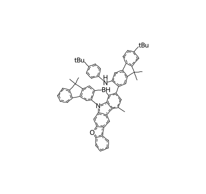 Cc1cc(-c2cc3c(cc2Nc2ccc(C(C)(C)C)cc2)-c2ccc(C(C)(C)C)cc2C3(C)C)c2c3c1c1cc4c(cc1n3-c1cc3c(cc1B2)C(C)(C)c1ccccc1-3)oc1ccccc14